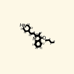 CCCCOc1c(C)c(/C=C/C2CCNCC2)nc2ccccc12